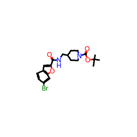 CC(C)(C)OC(=O)N1CCC(CNC(=O)c2cc3ccc(Br)cc3o2)CC1